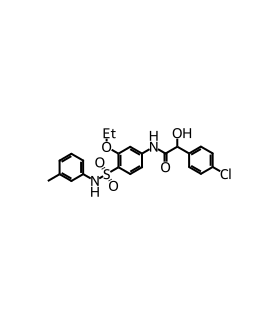 CCOc1cc(NC(=O)C(O)c2ccc(Cl)cc2)ccc1S(=O)(=O)Nc1cccc(C)c1